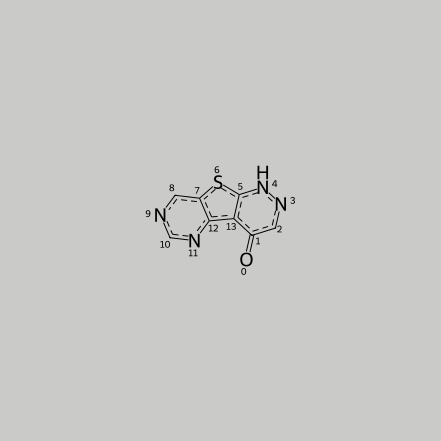 O=c1cn[nH]c2sc3cncnc3c12